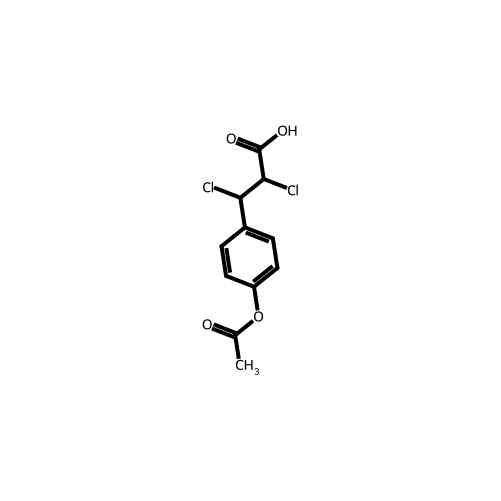 CC(=O)Oc1ccc(C(Cl)C(Cl)C(=O)O)cc1